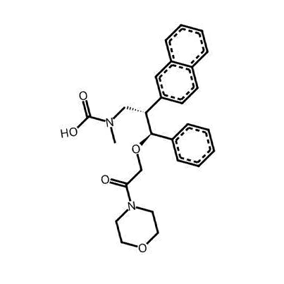 CN(C[C@H](c1ccc2ccccc2c1)[C@H](OCC(=O)N1CCOCC1)c1ccccc1)C(=O)O